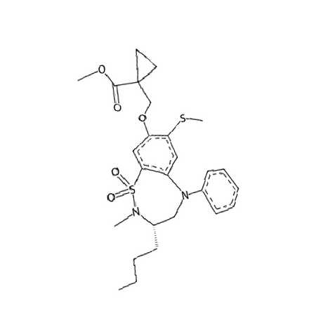 CCCC[C@H]1CN(c2ccccc2)c2cc(SC)c(OCC3(C(=O)OC)CC3)cc2S(=O)(=O)N1C